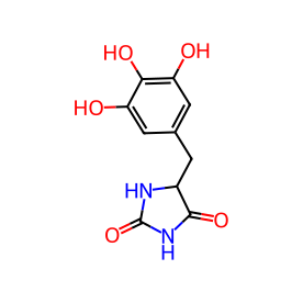 O=C1NC(=O)C(Cc2cc(O)c(O)c(O)c2)N1